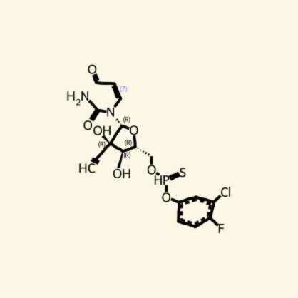 C#C[C@@]1(O)[C@H](O)[C@@H](CO[PH](=S)Oc2ccc(F)c(Cl)c2)O[C@H]1N(/C=C\C=O)C(N)=O